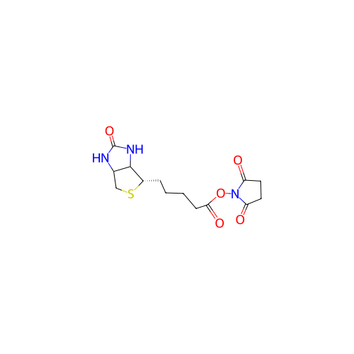 O=C1NC2CS[C@@H](CCCCC(=O)ON3C(=O)CCC3=O)C2N1